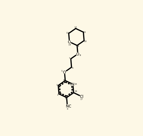 [C-]#[N+]c1ccc(OCCOC2CCCCO2)nc1Cl